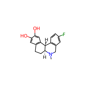 CN1Cc2cc(F)ccc2[C@H]2c3cc(O)c(O)cc3CC[C@@H]21